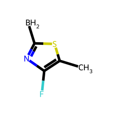 Bc1nc(F)c(C)s1